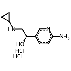 Cl.Cl.Nc1ccc([C@@H](O)CNC2CC2)cn1